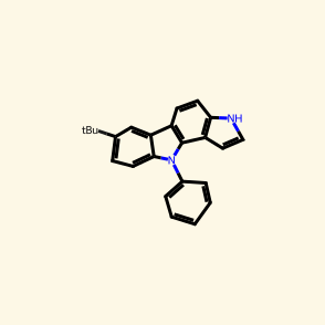 CC(C)(C)c1ccc2c(c1)c1ccc3[nH]ccc3c1n2-c1ccccc1